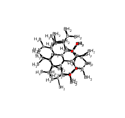 BB(B)B(B)B(B(B(B)B)B(B)B)B(B(B(B(B)B)B(B)B)B(B(B)B)B(B)B)C(B(B(B(B)B)B(B)B)B(B(B)B)B(B)B)B(B(B(B)B)B(B)B)B(B(B)B)B(B)B